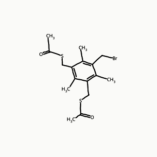 CC(=O)SCc1c(C)c(CBr)c(C)c(CSC(C)=O)c1C